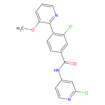 COc1cccnc1-c1ccc(C(=O)Nc2ccnc(Cl)c2)cc1Cl